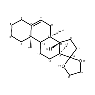 C[C@]12CCCCC1=CC[C@@H]1C2CC[C@@]2(C)[C@H]1CCC21OCCO1